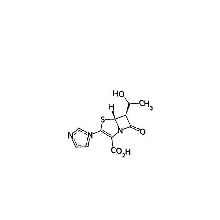 CC(O)[C@H]1C(=O)N2C(C(=O)O)=C(n3ccnc3)S[C@H]12